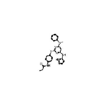 CCC(=O)Nc1ccc(Sc2nc(Nc3ccn[nH]3)cc(N(C)c3ccccc3)n2)cc1